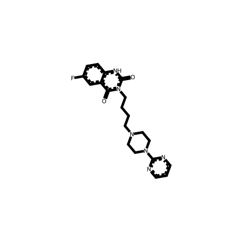 O=c1[nH]c2ccc(F)cc2c(=O)n1CCCCN1CCN(c2ncccn2)CC1